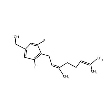 CC(C)=CCCC(C)=CCc1c(F)cc(CO)cc1F